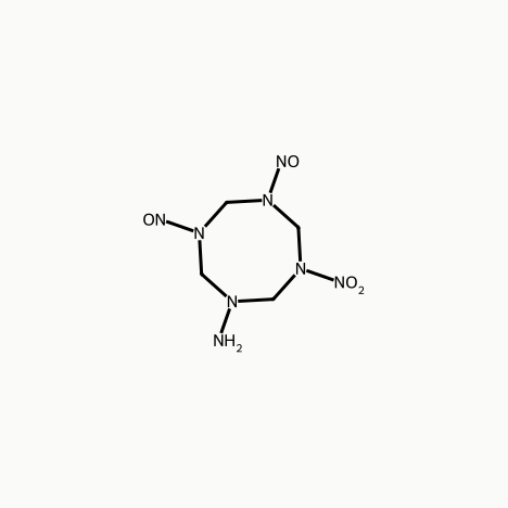 NN1CN(N=O)CN(N=O)CN([N+](=O)[O-])C1